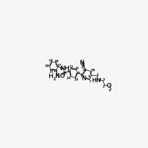 COCCNCc1cnc(-c2ccc(C(=O)Nc3ccccc3N)cc2)c(C#N)c1